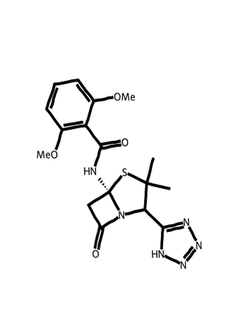 COc1cccc(OC)c1C(=O)N[C@@]12CC(=O)N1C(c1nnn[nH]1)C(C)(C)S2